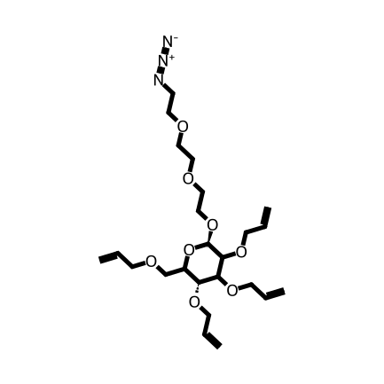 C=CCOCC1O[C@@H](OCCOCCOCCN=[N+]=[N-])C(OCC=C)C(OCC=C)[C@@H]1OCC=C